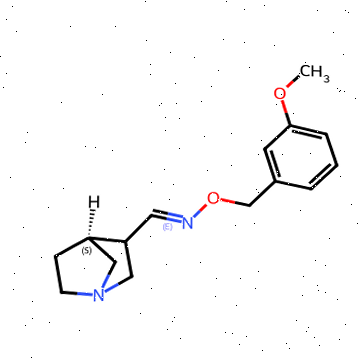 COc1cccc(CO/N=C/C2CN3CC[C@@H]2C3)c1